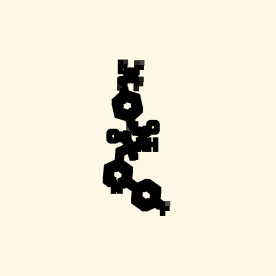 CC1(Cc2ccnc(-c3ccc(F)cc3)c2)NC(=O)N(c2ccc(SC(F)(F)F)cc2)C1=O